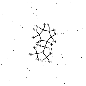 [2H]C([2H])([2H])N(C([2H])([2H])[2H])C([2H])([2H])C1([2H])C(=O)C([2H])([2H])C([2H])([2H])C([2H])([2H])C1([2H])[2H]